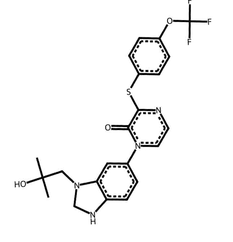 CC(C)(O)CN1CNc2ccc(-n3ccnc(Sc4ccc(OC(F)(F)F)cc4)c3=O)cc21